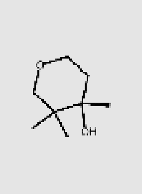 CC1(C)COCC[C@]1(C)O